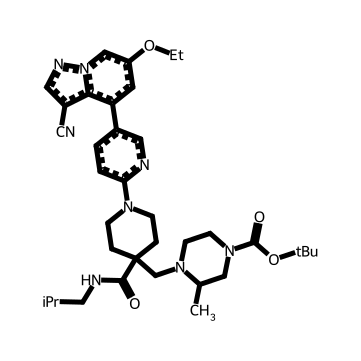 CCOc1cc(-c2ccc(N3CCC(CN4CCN(C(=O)OC(C)(C)C)CC4C)(C(=O)NCC(C)C)CC3)nc2)c2c(C#N)cnn2c1